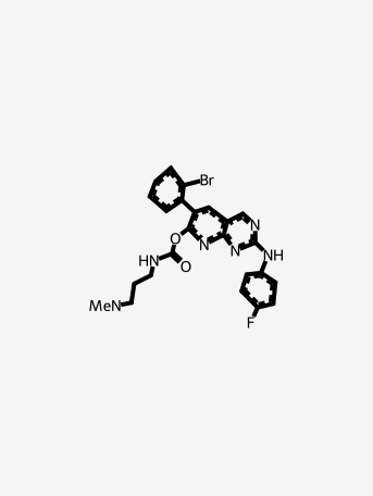 CNCCCNC(=O)Oc1nc2nc(Nc3ccc(F)cc3)ncc2cc1-c1ccccc1Br